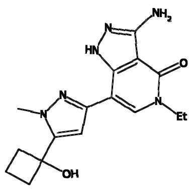 CCn1cc(-c2cc(C3(O)CCC3)n(C)n2)c2[nH]nc(N)c2c1=O